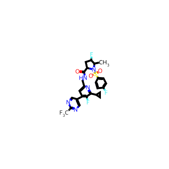 CC1C(F)CC(C(=O)NCc2cc(-c3cnc(C(F)(F)F)nc3)c(F)c(C3CC3)n2)N1S(=O)(=O)c1ccc(F)cc1